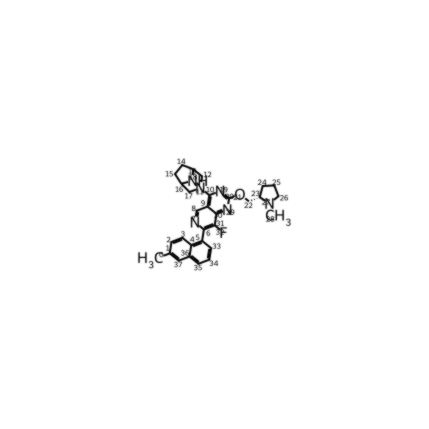 Cc1ccc2c(-c3ncc4c(N5CC6CCC(C5)N6)nc(OC[C@@H]5CCCN5C)nc4c3F)cccc2c1